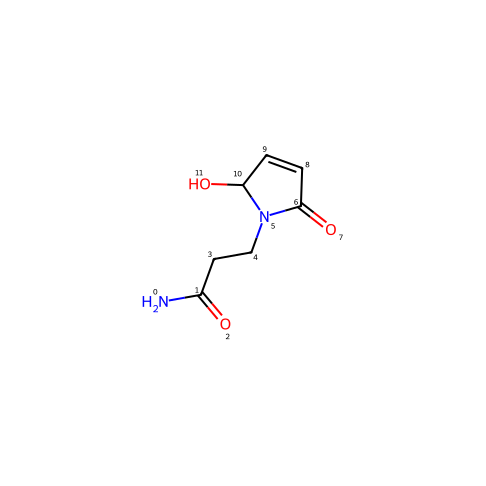 NC(=O)CCN1C(=O)C=CC1O